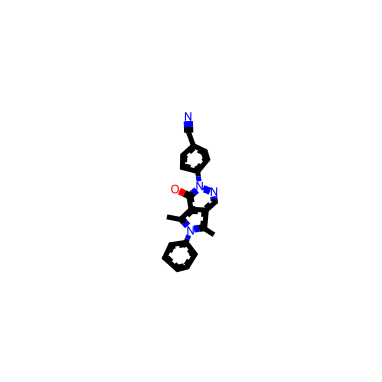 Cc1c2cnn(-c3ccc(C#N)cc3)c(=O)c2c(C)n1-c1ccccc1